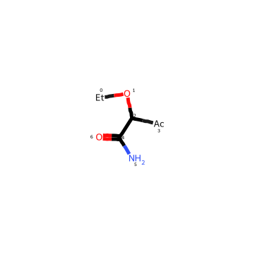 CCOC(C(C)=O)C(N)=O